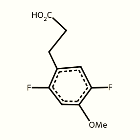 COc1cc(F)c(CCC(=O)O)cc1F